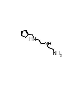 NCCNCCNCC1=CC=CC1